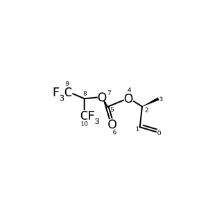 C=C[C@H](C)OC(=O)OC(C(F)(F)F)C(F)(F)F